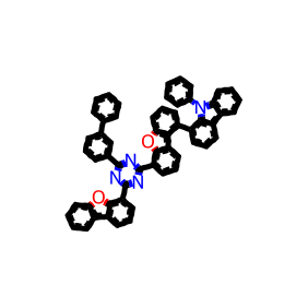 c1ccc(-c2cccc(-c3nc(-c4cccc5c4oc4ccccc45)nc(-c4cccc5c4oc4cccc(-c6cccc7c8ccccc8n(-c8ccccc8)c67)c45)n3)c2)cc1